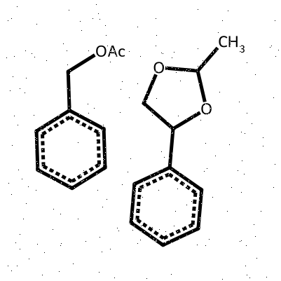 CC(=O)OCc1ccccc1.CC1OCC(c2ccccc2)O1